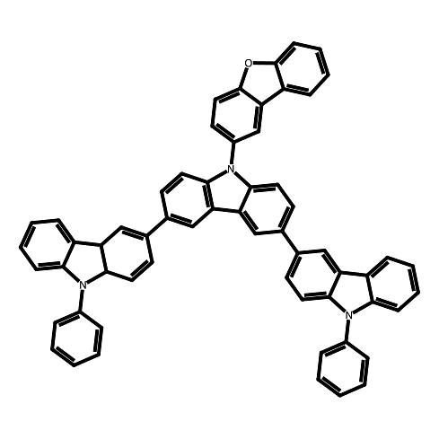 C1=CC2C(C=C1c1ccc3c(c1)c1cc(-c4ccc5c(c4)c4ccccc4n5-c4ccccc4)ccc1n3-c1ccc3oc4ccccc4c3c1)c1ccccc1N2c1ccccc1